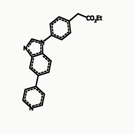 CCOC(=O)Cc1ccc(-n2cnc3cc(-c4ccncc4)ccc32)cc1